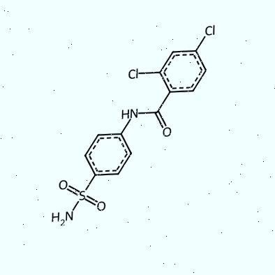 NS(=O)(=O)c1ccc(NC(=O)c2ccc(Cl)cc2Cl)cc1